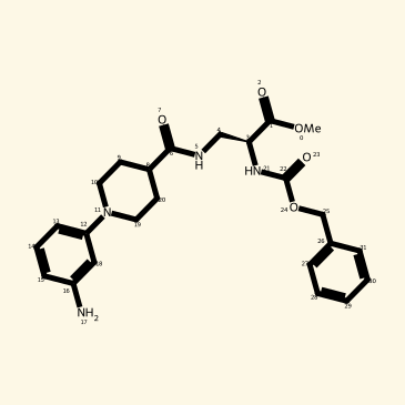 COC(=O)[C@H](CNC(=O)C1CCN(c2cccc(N)c2)CC1)NC(=O)OCc1ccccc1